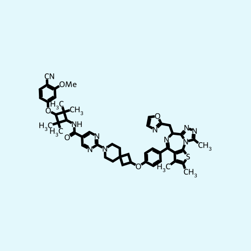 COc1cc(OC2C(C)(C)C(NC(=O)c3cnc(N4CCC5(CC4)CC(Oc4ccc(C6=NC(Cc7ncco7)c7nnc(C)n7-c7sc(C)c(C)c76)cc4)C5)nc3)C2(C)C)ccc1C#N